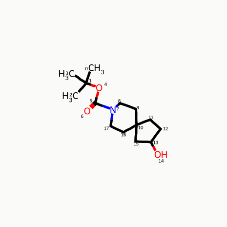 CC(C)(C)OC(=O)N1CCC2(CCC(O)C2)CC1